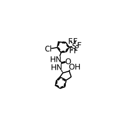 O=C(Nc1cc(S(F)(F)(F)(F)F)ccc1Cl)N[C@@H]1c2ccccc2C[C@@H]1O